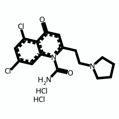 Cl.Cl.NC(=O)n1c(CCN2CCCC2)cc(=O)c2c(Cl)cc(Cl)cc21